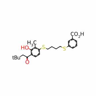 Cc1c(SCCCCSc2cccc(C(=O)O)c2)ccc(C(=O)CC(C)(C)C)c1O